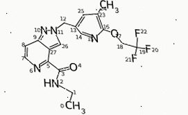 CCNC(=O)c1nccc2nn(Cc3cnc(OCC(F)(F)F)c(C)c3)cc12